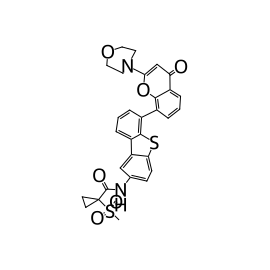 CS(=O)(=O)C1(C(=O)Nc2ccc3sc4c(-c5cccc6c(=O)cc(N7CCOCC7)oc56)cccc4c3c2)CC1